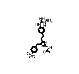 CC(=O)Nc1nc(CCc2ccc(NC(=N)NN)cc2)c(Cc2ccc(S(C)(=O)=O)cc2)s1